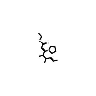 C/C=C/C(C)C(C)/C(=C/C(=O)OCC)N1CCCC1